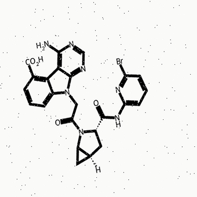 Nc1ncnc2c1c1c(C(=O)O)cccc1n2CC(=O)N1C2C[C@@H]2C[C@H]1C(=O)Nc1cccc(Br)n1